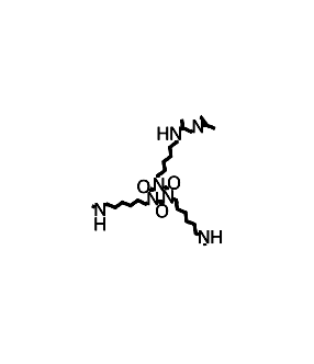 CNCCCCCCn1c(=O)n(CCCCCCNC)c(=O)n(CCCCCCNC(C)CN2CC2C)c1=O